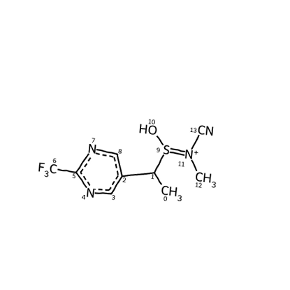 CC(c1cnc(C(F)(F)F)nc1)S(O)=[N+](C)C#N